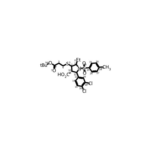 CCC1C(SCCC(=O)OC(C)(C)C)[C@@H](C(=O)O)C(c2ccc(Cl)c(Cl)c2)N1S(=O)(=O)c1ccc(C)cc1